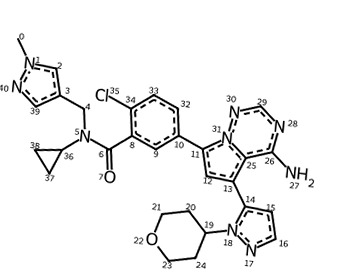 Cn1cc(CN(C(=O)c2cc(-c3cc(-c4ccnn4C4CCOCC4)c4c(N)ncnn34)ccc2Cl)C2CC2)cn1